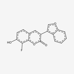 O=c1oc2c(F)c(O)ccc2cc1-c1coc2ccccc12